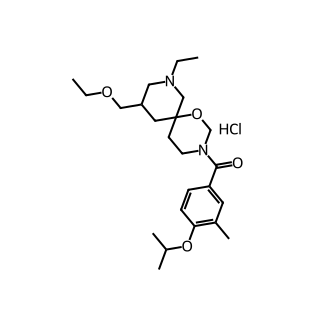 CCOCC1CN(CC)CC2(CCN(C(=O)c3ccc(OC(C)C)c(C)c3)CO2)C1.Cl